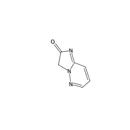 O=C1CN2N=CC=CC2=N1